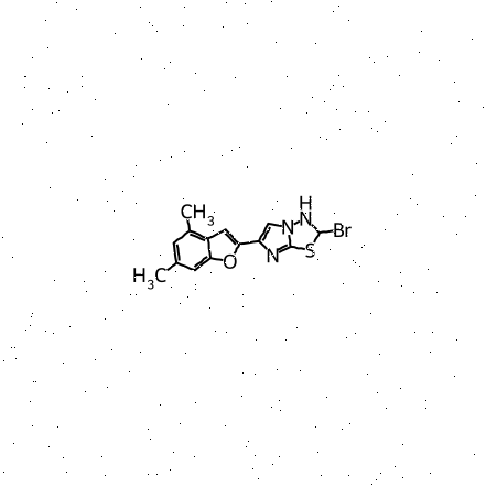 Cc1cc(C)c2cc(-c3cn4c(n3)SC(Br)N4)oc2c1